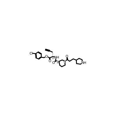 C#CC[C@H](NC(=O)[C@@H]1CCCN(C(=O)CCC2CCNCC2)C1)C(=O)OCc1ccc(Cl)cc1